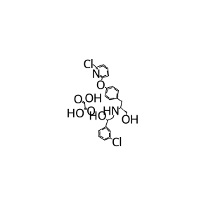 O=C(O)C(=O)O.OC[C@H](Cc1ccc(Oc2cccc(Cl)n2)cc1)NC[C@H](O)c1cccc(Cl)c1